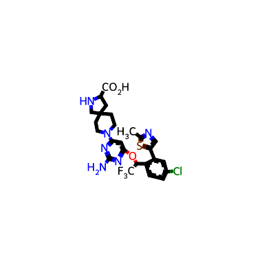 Cc1ncc(-c2cc(Cl)ccc2C(Oc2cc(N3CCC4(CC3)CNC(C(=O)O)C4)nc(N)n2)C(F)(F)F)s1